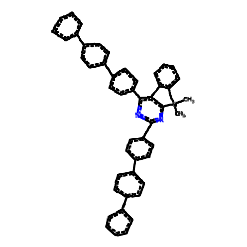 C[Si]1(C)c2ccccc2-c2c(-c3ccc(-c4ccc(-c5ccccc5)cc4)cc3)nc(-c3ccc(-c4ccc(-c5ccccc5)cc4)cc3)nc21